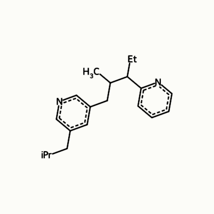 CCC(c1ccccn1)C(C)Cc1cncc(CC(C)C)c1